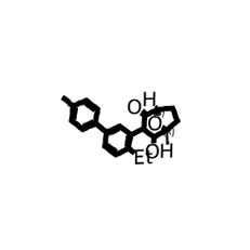 CCc1ccc(-c2ccc(C)cc2)cc1C1C(=O)[C@@H]2CC[C@@](C)(O2)C1O